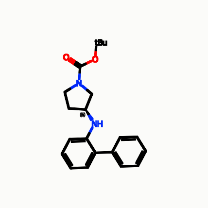 CC(C)(C)OC(=O)N1CC[C@H](Nc2ccccc2-c2ccccc2)C1